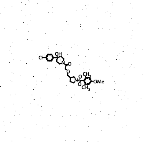 COc1cc(C)c(S(=O)(=O)N2CCC(COCC(=O)N3CCC(O)(c4ccc(Cl)cc4)CC3)C2)c(C)c1